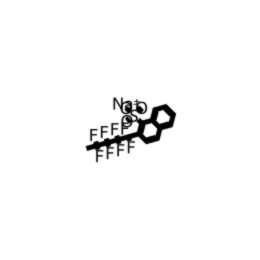 CC(F)(F)C(F)(F)C(F)(F)C(F)(F)c1ccc2ccccc2c1S(=O)(=O)[O-].[Na+]